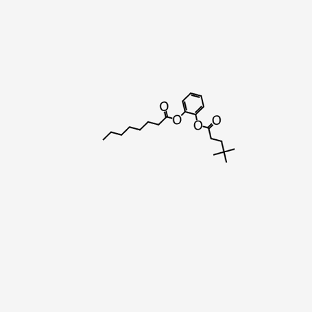 CCCCCCCC(=O)Oc1ccccc1OC(=O)CCC(C)(C)C